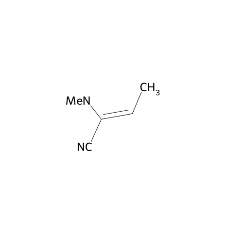 C/C=C(/C#N)NC